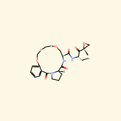 CC(C)C[C@H](NC(=O)[C@@H]1COCCCCOc2ccccc2C(=O)N2CCC[C@H]2C(=O)N1)C(=O)[C@@]1(C)CO1